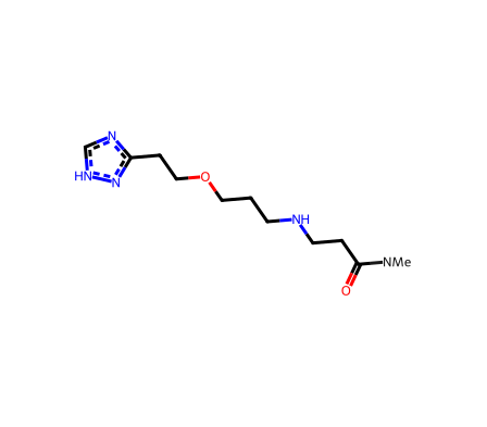 CNC(=O)CCNCCCOCCc1nc[nH]n1